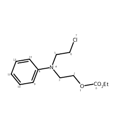 CCOC(=O)OCCN(CCCl)c1ccccc1